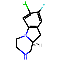 Fc1cc2c(cc1Cl)N1CCNC[C@@H]1C2